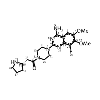 COc1cc2c(N)nc(N3CCN(C(=O)C[C@@H]4CCCN4)CC3)nc2c(F)c1OC